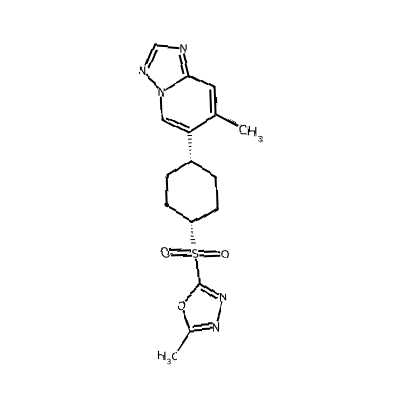 Cc1nnc(S(=O)(=O)[C@H]2CC[C@@H](c3cn4ncnc4cc3C)CC2)o1